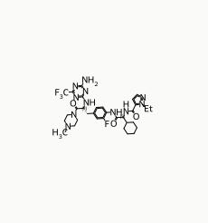 CCn1nccc1C(=O)N[C@H](C(=O)Nc1ccc(C[C@@H](Nc2nc(N)nc(C(F)(F)F)n2)C(=O)N2CCN(C)CC2)cc1F)C1CCCCC1